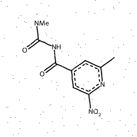 CNC(=O)NC(=O)c1cc(C)nc([N+](=O)[O-])c1